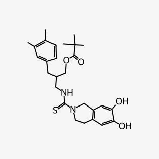 Cc1ccc(CC(CNC(=S)N2CCc3cc(O)c(O)cc3C2)COC(=O)C(C)(C)C)cc1C